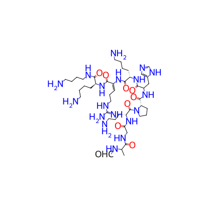 CC(NC=O)C(=O)NCC(=O)N[C@H](CCCN)C(=O)N1CCC[C@H]1C(=O)NC(Cc1cnc[nH]1)C(=O)N[C@@H](CCCCN)C(=O)N/C(=C/CCNC(=N)N)C(=O)N[C@@H](CCCCN)C(=O)NCCCCN